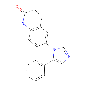 O=C1CCc2cc(-n3cncc3-c3ccccc3)ccc2N1